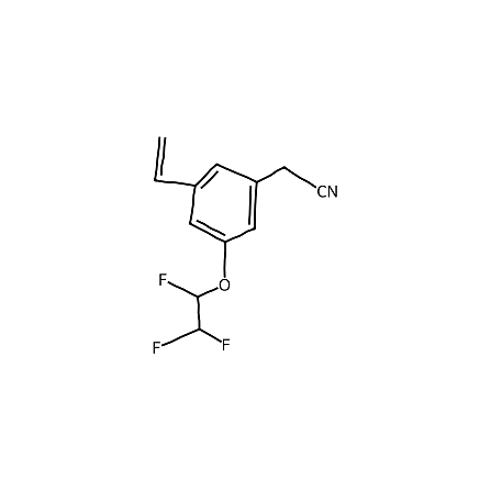 C=Cc1cc(CC#N)cc(OC(F)C(F)F)c1